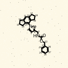 O=C(NCc1ccn(-c2c3c(cc4c2CCC4)CCC3)n1)OCc1ccccc1